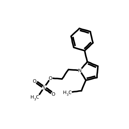 CCc1ccc(-c2ccccc2)n1CCOS(C)(=O)=O